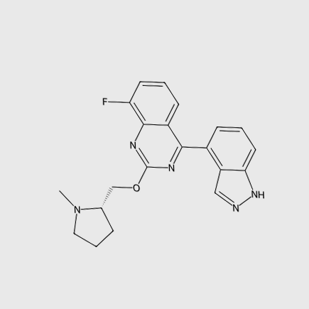 CN1CCC[C@H]1COc1nc(-c2cccc3[nH]ncc23)c2cccc(F)c2n1